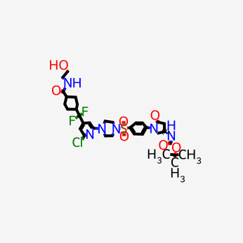 CC(C)(C)OC(=O)N[C@@H]1CC(=O)N(c2ccc(S(=O)(=O)N3CCN(c4cc(C(F)(F)C5CCC(C(=O)NCCO)CC5)cc(Cl)n4)CC3)cc2)C1